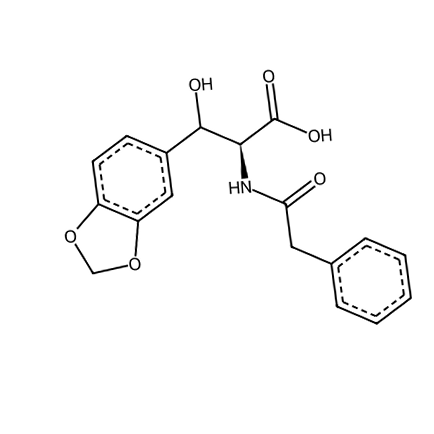 O=C(Cc1ccccc1)N[C@H](C(=O)O)C(O)c1ccc2c(c1)OCO2